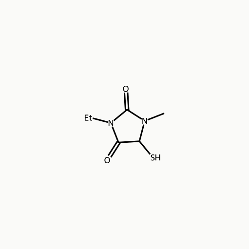 CCN1C(=O)C(S)N(C)C1=O